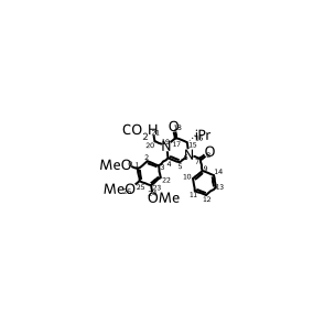 COc1cc(C2=CN(C(=O)c3ccccc3)[C@@H](C(C)C)C(=O)N2CC(=O)O)cc(OC)c1OC